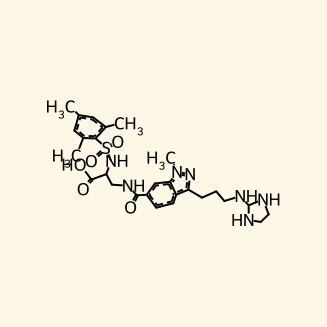 Cc1cc(C)c(S(=O)(=O)NC(CNC(=O)c2ccc3c(CCCNC4NCCN4)nn(C)c3c2)C(=O)O)c(C)c1